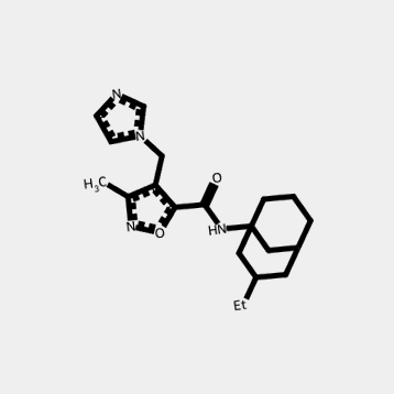 CCC1CC2CCCC(NC(=O)c3onc(C)c3Cn3ccnc3)(C1)C2